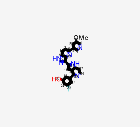 COc1cncc(-c2ccc3[nH]nc(-c4cc5c(-c6cc(O)cc(F)c6)nccc5[nH]4)c3n2)c1